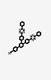 N#Cc1ccc(-c2ccc(-c3ccc(-c4nnc(-c5ccccc5)nn4)cc3)c(-c3ccc(-c4nnc(-c5ccccc5)nn4)cc3)c2)cc1